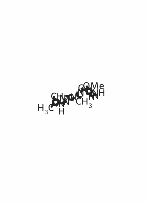 COc1cc2[nH]nnc2cc1C(=O)N1CC(C)C(N2Cc3cnc(Nc4cc(C)cc(C)c4)nc3C2)C1